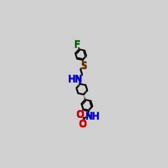 O=c1[nH]c2ccc([C@H]3CC[C@H](NCCSc4ccc(F)cc4)CC3)cc2o1